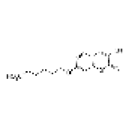 N#Cc1cc2ccc(OCCCCCC(=O)O)cc2oc1=O